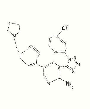 Nc1ncc(-c2ccc(CN3CCCC3)cc2)cc1-c1nnnn1-c1cccc(Cl)c1